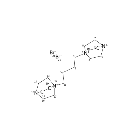 C(CC[N+]12CCN(CC1)CC2)C[N+]12CCN(CC1)CC2.[Br-].[Br-]